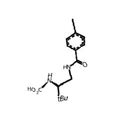 Cc1ccc(C(=O)NCC(NC(=O)O)C(C)(C)C)cc1